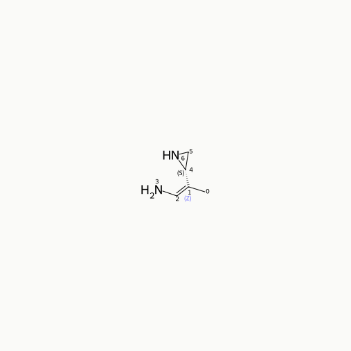 C/C(=C/N)[C@H]1CN1